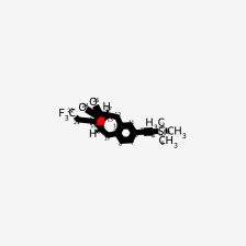 C[Si](C)(C)C#Cc1ccc2c(c1)C[C@H]1CC[C@@H](C2)[C@]12CN(CC(F)(F)F)S(=O)(=O)N2